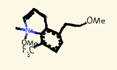 COCCc1ccc(C(F)(F)F)c2c1[CH]C=C[N+]2(C)OC